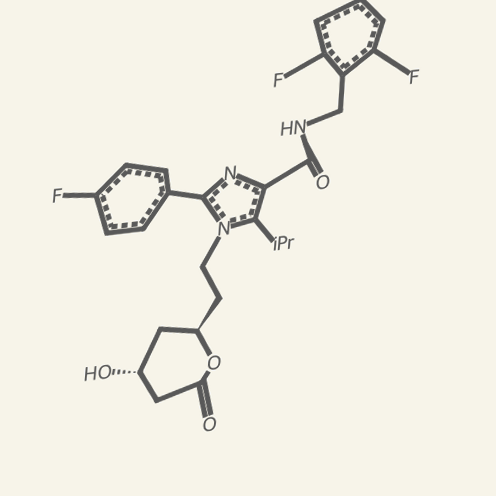 CC(C)c1c(C(=O)NCc2c(F)cccc2F)nc(-c2ccc(F)cc2)n1CC[C@@H]1C[C@@H](O)CC(=O)O1